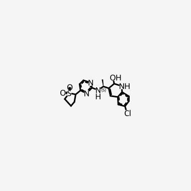 C[C@H](Nc1nccc(C2CCCS2(=O)=O)n1)C1=Cc2cc(Cl)ccc2NC1O